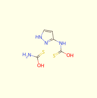 NC(O)=S.OC(=S)Nc1cc[nH]n1